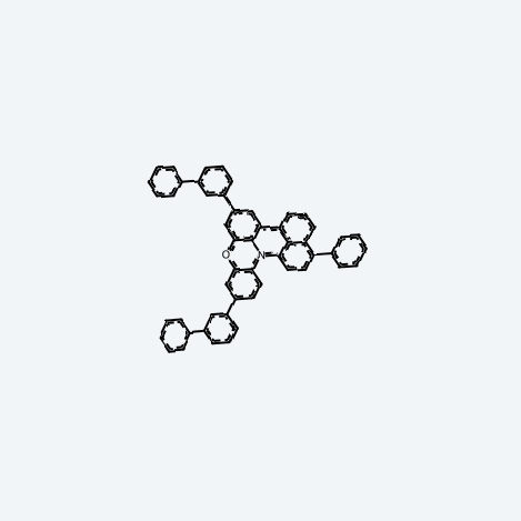 c1ccc(-c2cccc(-c3ccc4c(c3)oc3cc(-c5cccc(-c6ccccc6)c5)cc5c3-n4c3ccc(-c4ccccc4)c4cccc5c43)c2)cc1